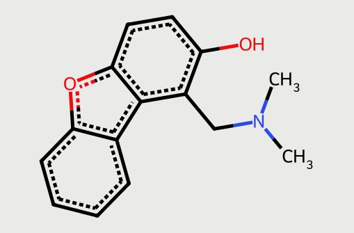 CN(C)Cc1c(O)ccc2oc3ccccc3c12